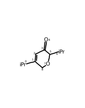 CC(C)C1=CC(=O)C(C(C)C)OC1